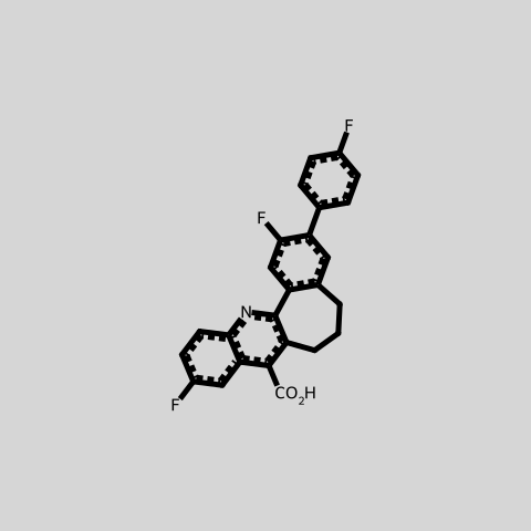 O=C(O)c1c2c(nc3ccc(F)cc13)-c1cc(F)c(-c3ccc(F)cc3)cc1CCC2